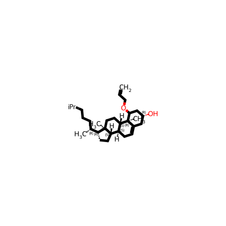 C=CCOC1C[C@H](O)CC2=CC[C@H]3[C@@H]4CC[C@H]([C@H](C)CCCC(C)C)[C@@]4(C)CC[C@@H]3[C@]21C